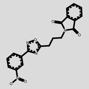 O=C1c2ccccc2C(=O)N1CCCc1nc(-c2cccc([N+](=O)[O-])c2)no1